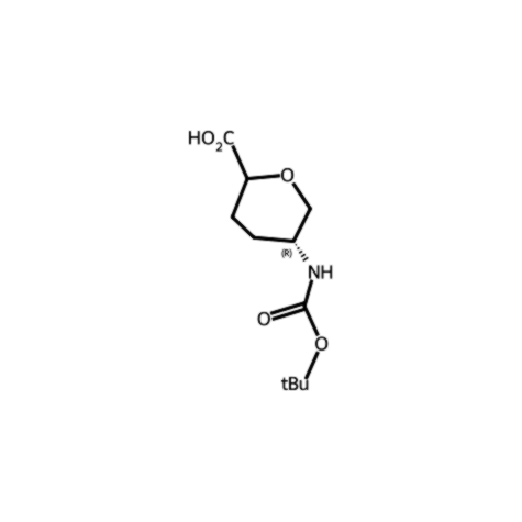 CC(C)(C)OC(=O)N[C@@H]1CCC(C(=O)O)OC1